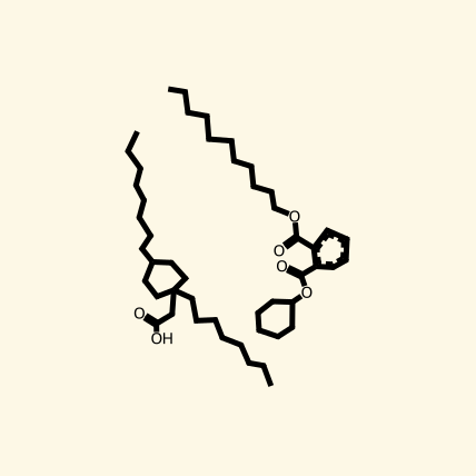 CCCCCCCCC1CCC(CCCCCCCC)(CC(=O)O)CC1.CCCCCCCCCCCOC(=O)c1ccccc1C(=O)OC1CCCCC1